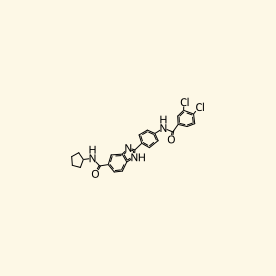 O=C(Nc1ccc(-c2nc3cc(C(=O)NC4CCCC4)ccc3[nH]2)cc1)c1ccc(Cl)c(Cl)c1